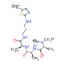 C[C@H](NC(=O)[C@H](C)NC(=O)[C@H](C)N(C(=O)O)C(C)(C)C)C(=O)NCCCNc1ncc(C=O)s1